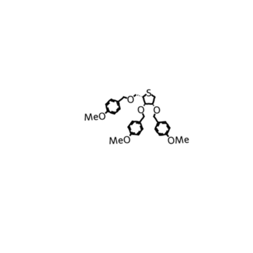 COc1ccc(COC[C@@H]2SC[C@H](OCc3ccc(OC)cc3)[C@H]2OCc2ccc(OC)cc2)cc1